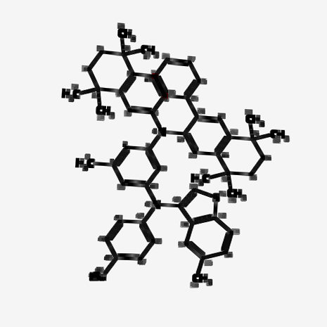 Cc1cc(N(c2ccc3c(c2)C(C)(C)CCC3(C)C)c2cc3c(cc2-c2ccccc2)C(C)(C)CCC3(C)C)cc(N(c2ccc(C(C)(C)C)cc2)c2csc3ccc(C)cc23)c1